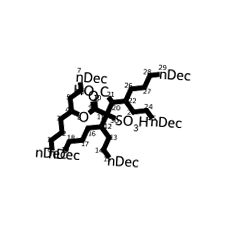 CCCCCCCCCCCCCC(CCCCCCCCCCCC)OC(=O)C(C(CCCCCCCCCCCC)CCCCCCCCCCCCC)(C(C(=O)O)C(CCCCCCCCCCCC)CCCCCCCCCCCCC)S(=O)(=O)O